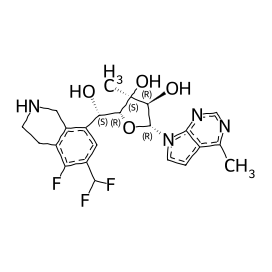 Cc1ncnc2c1ccn2[C@@H]1O[C@H]([C@@H](O)c2cc(C(F)F)c(F)c3c2CNCC3)[C@@](C)(O)[C@H]1O